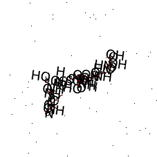 CCCCCOCN(C(=O)[C@@H](NC(=O)C1CCCCN1C)C(C)CC)[C@H](CCc1nc(C(=O)N[C@@H](Cc2ccc(O)cc2)C[C@H](C)C(=O)NNC(=O)OCCSSCCNC(=O)[C@H](CC(=O)O)NC(=O)C(CC(=O)O)NC(=O)Cc2ccc(CNC(=O)NCCCC[C@@H](C)NC(=O)N[C@@H](CCCC(=O)O)C(=O)O)cc2)cs1)C(C)C